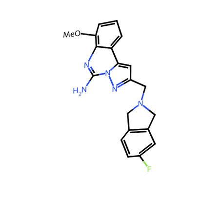 COc1cccc2c1nc(N)n1nc(CN3Cc4ccc(F)cc4C3)cc21